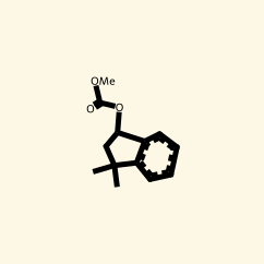 COC(=O)OC1CC(C)(C)c2ccccc21